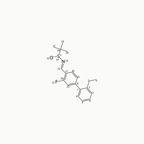 CCc1ccccc1-c1ccc(C=N[S+]([O-])C(C)(C)C)c(F)c1